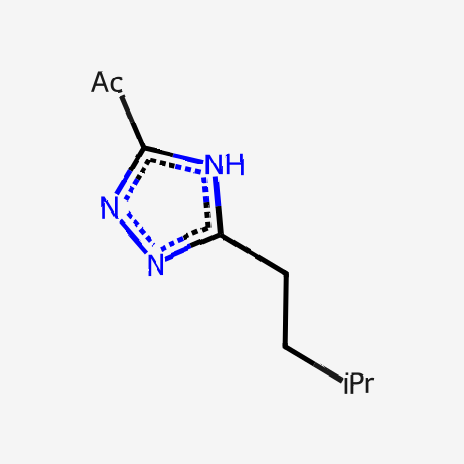 CC(=O)c1nnc(CCC(C)C)[nH]1